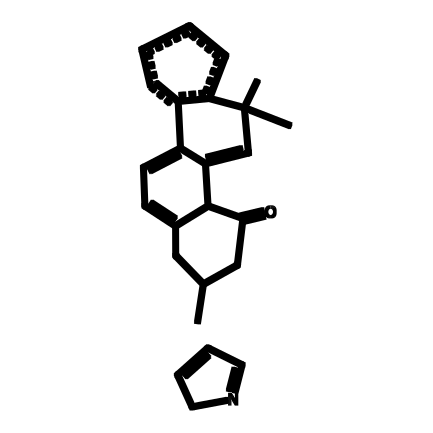 C1=CCN=C1.CC1CC(=O)C2C(=CC=C3C2=CC(C)(C)c2ccccc23)C1